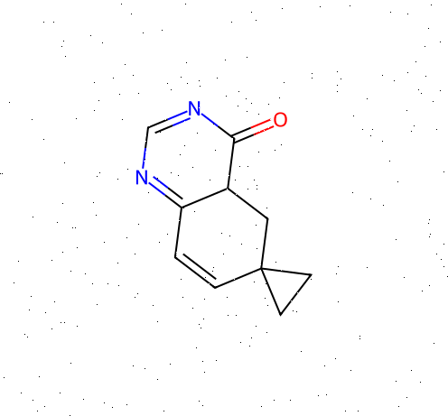 O=C1N=CN=C2C=CC3(CC3)CC12